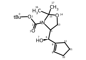 CC(C)(C)OC(=O)N1C([C@H](O)C2=CCCC2)COC1(C)C